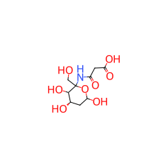 O=C(O)CC(=O)NC1(CO)OC(O)C[C@@H](O)C1O